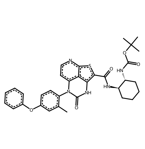 Cc1cc(Oc2ccccc2)ccc1N1C(=O)Nc2c(C(=O)N[C@@H]3CCCC[C@H]3NC(=O)OC(C)(C)C)sc3nccc1c23